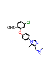 Cc1c(CN(C)C)ncn1-c1ccc(Oc2cc(Cl)ccc2C=O)cc1